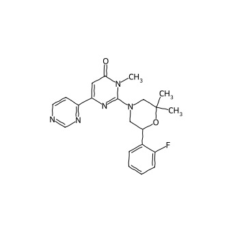 Cn1c(N2CC(c3ccccc3F)OC(C)(C)C2)nc(-c2ccncn2)cc1=O